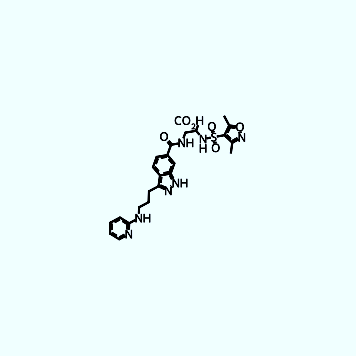 Cc1noc(C)c1S(=O)(=O)NC(CNC(=O)c1ccc2c(CCCNc3ccccn3)n[nH]c2c1)C(=O)O